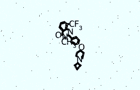 Cn1c(-c2ccc(OC3CCN(C4CCC4)CC3)cc2)nc2c(C(F)(F)F)cccc2c1=O